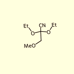 CCOC(C#N)(COC)OCC